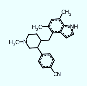 Cc1cc(C)c2[nH]ccc2c1CC1CCN(C)CC1c1ccc(C#N)cc1